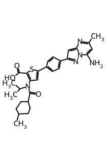 Cc1cc(N)n2nc(-c3ccc(-c4cc(N(C(=O)C5CCC(C)CC5)C(C)C)c(C(=O)O)s4)cc3)cc2n1